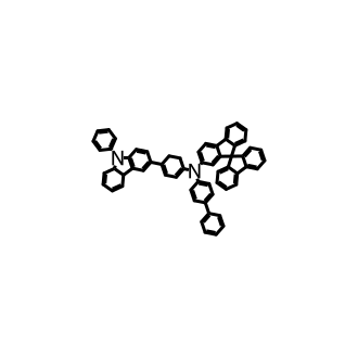 C1=CC2c3cc(C4=CC=C(N(c5ccc(-c6ccccc6)cc5)c5ccc6c(c5)C5(c7ccccc7-c7ccccc75)c5ccccc5-6)CC4)ccc3N(c3ccccc3)C2C=C1